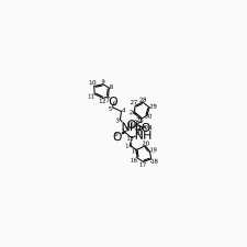 O=C(NCCCOc1ccccc1)[C@H](Cc1cc[c]cc1)NS(=O)(=O)c1ccccc1